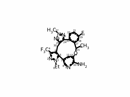 CCn1nc(C(F)(F)F)c2c1-c1cnc(N)c(c1)OC(C)c1cc(F)ccc1-c1nn(C)nc1C2